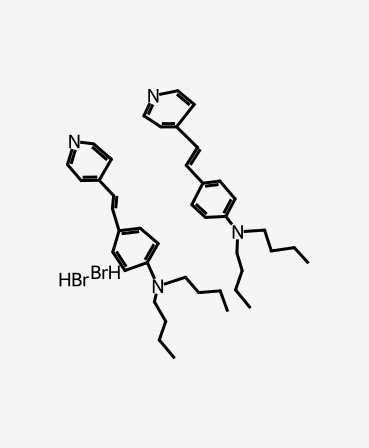 Br.Br.CCCCN(CCCC)c1ccc(C=Cc2ccncc2)cc1.CCCCN(CCCC)c1ccc(C=Cc2ccncc2)cc1